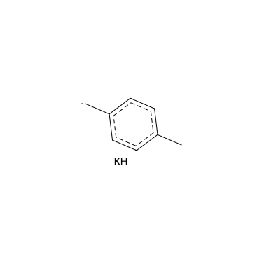 [CH2]c1ccc(C)cc1.[KH]